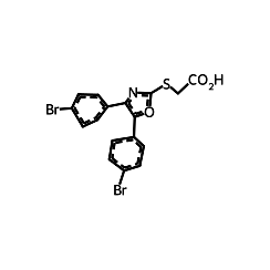 O=C(O)CSc1nc(-c2ccc(Br)cc2)c(-c2ccc(Br)cc2)o1